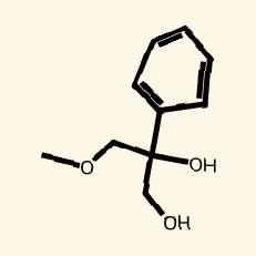 COCC(O)(CO)c1ccccc1